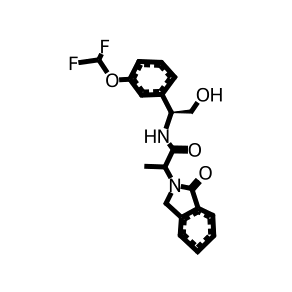 CC(C(=O)N[C@H](CO)c1cccc(OC(F)F)c1)N1Cc2ccccc2C1=O